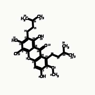 COc1c(O)cc2oc3c(Cl)c(O)c(CCC(C)C)c(O)c3c(=O)c2c1CCC(C)C